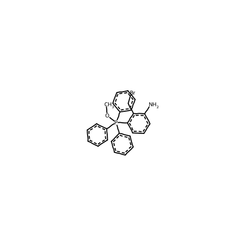 COP(c1ccccc1)(c1ccccc1)(c1ccccc1)c1cccc(N)c1CBr